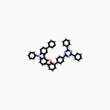 c1ccc(-c2ccc3c(c2)c2c4oc5c(-c6ccc(-c7nc(-c8ccccc8)nc(-c8ccccc8)n7)cc6)cccc5c4ccc2n3-c2ccccc2)cc1